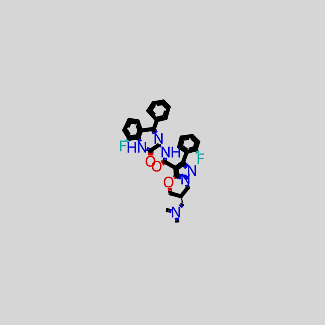 CN(C)C[C@@H]1COc2c(C(=O)N[C@H]3N=C(c4ccccc4)c4cccc(F)c4NC3=O)c(-c3ccccc3F)nn2C1